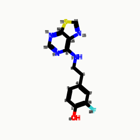 Oc1ccc(CCNc2ncnc3scnc23)cc1F